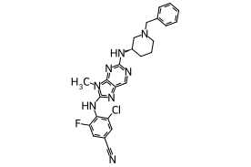 Cn1c(Nc2c(F)cc(C#N)cc2Cl)nc2cnc(N[C@@H]3CCCN(Cc4ccccc4)C3)nc21